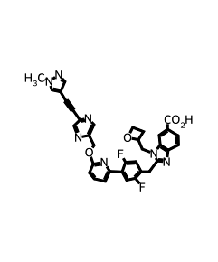 Cn1cc(C#Cc2cnc(COc3cccc(-c4cc(F)c(Cc5nc6ccc(C(=O)O)cc6n5CC5CCO5)cc4F)n3)cn2)cn1